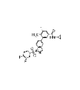 Cc1c(F)cc(C(=O)NC2CC2)cc1-c1ccc2c(cnn2S(=O)(=O)c2ccc(F)c(F)c2)c1